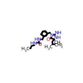 CCCCNC(=O)NCc1cccc(CN2C(=N)NC(C)(CC(C)C)C2=O)c1